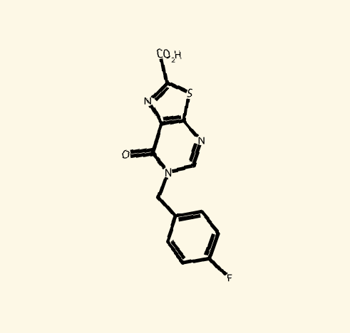 O=C(O)c1nc2c(=O)n(Cc3ccc(F)cc3)cnc2s1